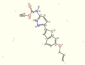 C=CCOc1ccc2cc(-c3ccc(N(C)C(=O)OC(C)(C)C)nn3)sc2c1